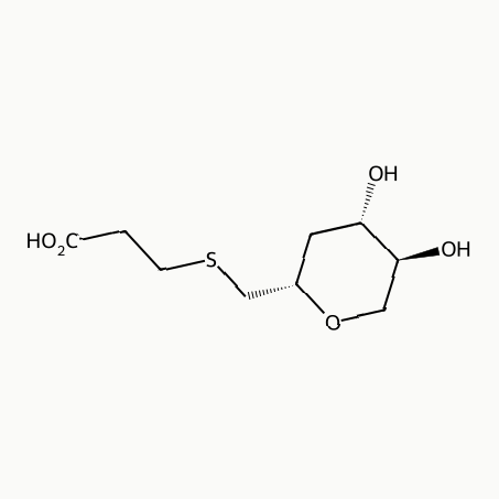 O=C(O)CCSC[C@@H]1C[C@H](O)[C@@H](O)CO1